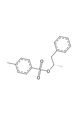 Cc1ccc(S(=O)(=O)O[C@@H](C)Cc2ccccc2)cc1